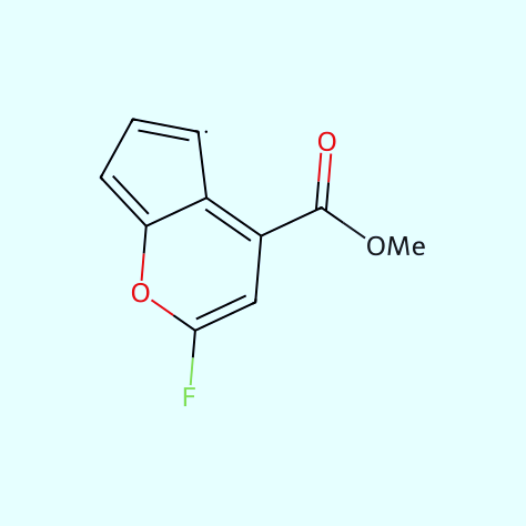 COC(=O)c1cc(F)oc2cc[c]c1-2